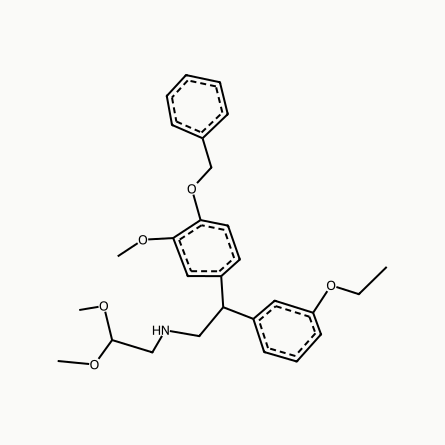 CCOc1cccc(C(CNCC(OC)OC)c2ccc(OCc3ccccc3)c(OC)c2)c1